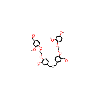 COc1ccc(OCCOc2ccc(C=C=Cc3ccc(OCCOc4ccc(C=O)cc4OC)c(OC)c3)cc2C=O)c(OC)c1